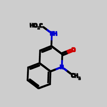 Cn1c(=O)c(NC(=O)O)cc2ccccc21